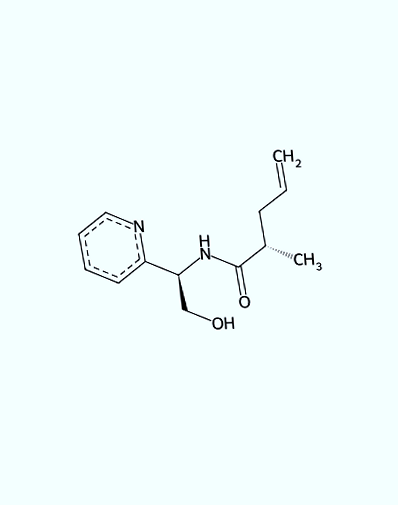 C=CC[C@H](C)C(=O)N[C@@H](CO)c1ccccn1